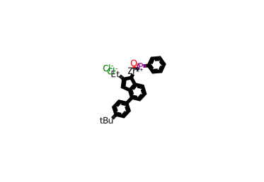 CCC1=Cc2c(-c3ccc(C(C)(C)C)cc3)cccc2[CH]1[Zr+2]1[O][P]1c1ccccc1.[Cl-].[Cl-]